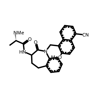 CN[C@@H](C)C(=O)NC1CCc2ccccc2N(Cc2c(OC)ccc3c(C#N)cccc23)C1=O